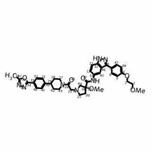 COCCOc1ccc(-c2n[nH]c3ccc(NC(=O)[C@]4(OC)CCN(CC(=O)N5CCC(c6ccc(-c7nnc(C)o7)cc6)CC5)C4)cc23)cc1